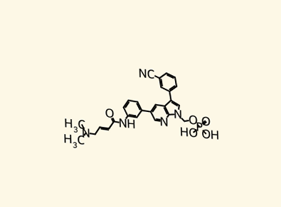 CN(C)CC=CC(=O)Nc1cccc(-c2cnc3c(c2)c(-c2cccc(C#N)c2)cn3COP(=O)(O)O)c1